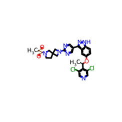 C[C@@H](Oc1ccc2[nH]nc(-c3cnc(N4CC5(CCN(S(C)(=O)=O)C5)C4)nc3)c2c1)c1c(Cl)cncc1Cl